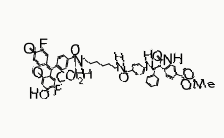 COC(=O)c1ccc2c(c1)NC(=O)/C2=C(\Nc1ccc(C(=O)NCCCCCCNC(=O)c2ccc(-c3c4cc(F)c(=O)cc-4oc4cc(O)c(F)cc34)c(C(=O)O)c2)cc1)c1ccccc1